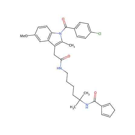 COc1ccc2c(c1)c(CC(=O)NCCCCC(C)(C)NC(=O)C1=CCC=C1)c(C)n2C(=O)c1ccc(Cl)cc1